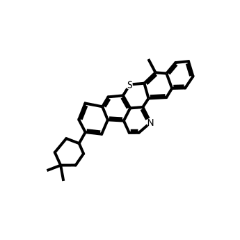 Cc1c2c(cc3ccccc13)-c1nccc3c1c(cc1ccc(C4CCC(C)(C)CC4)cc13)S2